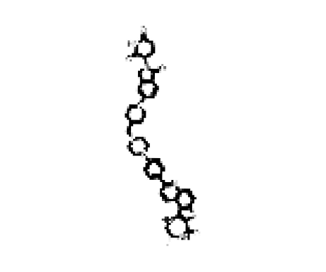 C[C@@H]1CNc2c(sc3ccc4nc(-c5ccc(N6CCN(CC7CCN(c8ccc9c(c8)CN(C8CCC(=O)NC8=O)C9=O)CC7)CC6)cc5)ccc4c23)C(=O)N1